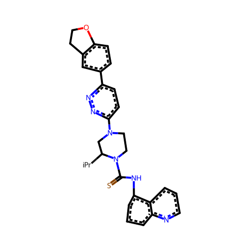 CC(C)C1CN(c2ccc(-c3ccc4c(c3)CCO4)nn2)CCN1C(=S)Nc1cccc2ncccc12